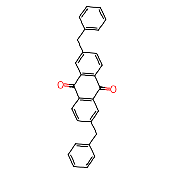 O=C1c2ccc(Cc3ccccc3)cc2C(=O)c2ccc(Cc3ccccc3)cc21